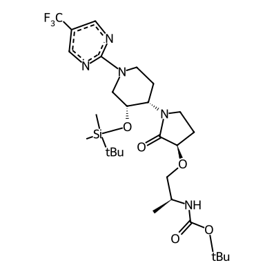 C[C@@H](CO[C@@H]1CCN([C@H]2CCN(c3ncc(C(F)(F)F)cn3)C[C@H]2O[Si](C)(C)C(C)(C)C)C1=O)NC(=O)OC(C)(C)C